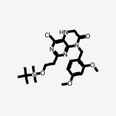 COc1ccc(CN2C(=O)CNc3c(Cl)nc(CCO[Si](C)(C)C(C)(C)C)nc32)c(OC)c1